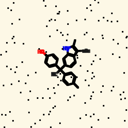 CCCCc1c(C)[nH]c2cc(C(C#N)(c3ccc(C)cc3)c3ccc(O)cc3)ccc12